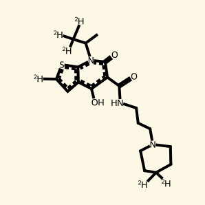 [2H]c1cc2c(O)c(C(=O)NCCCN3CCC([2H])([2H])CC3)c(=O)n(C(C)C([2H])([2H])[2H])c2s1